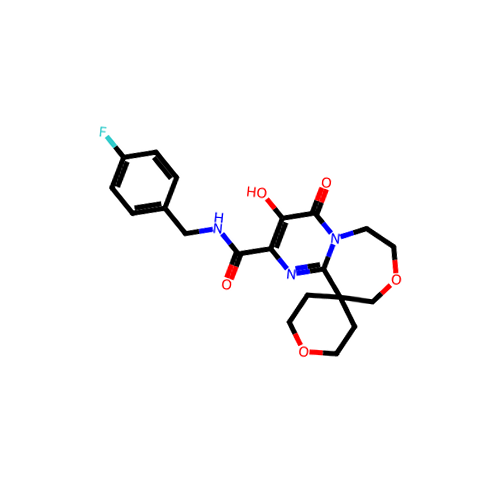 O=C(NCc1ccc(F)cc1)c1nc2n(c(=O)c1O)CCOCC21CCOCC1